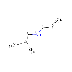 C=CCNCC(C)C